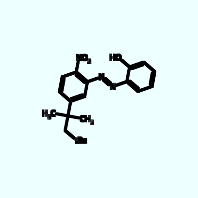 CC(C)(C)CC(C)(C)c1ccc([N+](=O)[O-])c(N=Nc2ccccc2O)c1